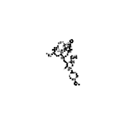 COC(=O)CC1[C@H](CC2=C(C)[C@H](c3ccc(OC)cc3)C[C@@H]2O)C[C@@H]2OC(=O)[C@]3(C)C=CC(=O)[C@@]1(C)[C@@H]23